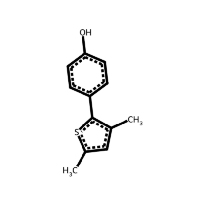 Cc1cc(C)c(-c2ccc(O)cc2)s1